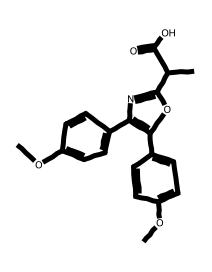 COc1ccc(-c2nc(C(C)C(=O)O)oc2-c2ccc(OC)cc2)cc1